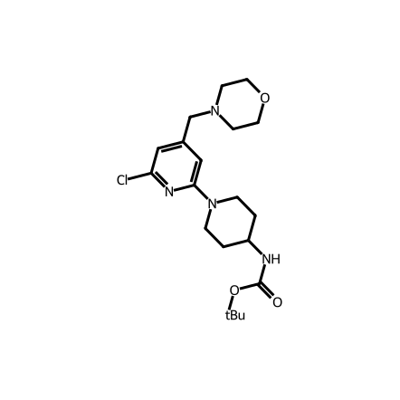 CC(C)(C)OC(=O)NC1CCN(c2cc(CN3CCOCC3)cc(Cl)n2)CC1